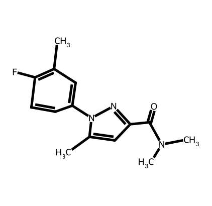 Cc1cc(-n2nc(C(=O)N(C)C)cc2C)ccc1F